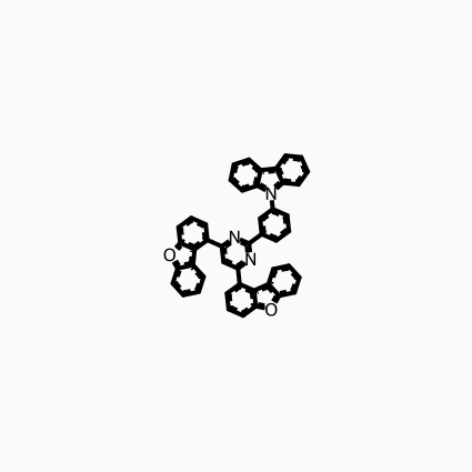 c1cc(-c2nc(-c3cccc4oc5ccccc5c34)cc(-c3cccc4oc5ccccc5c34)n2)cc(-n2c3ccccc3c3ccccc32)c1